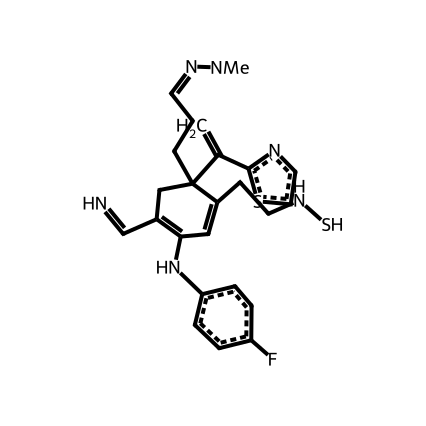 C=C(c1nccs1)C1(CC/C=N\NC)CC(C=N)=C(Nc2ccc(F)cc2)C=C1CCNS